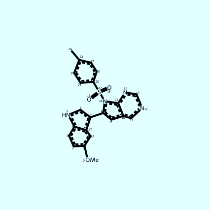 COc1ccc2[nH]cc(-c3cc4cncnc4n3S(=O)(=O)c3ccc(C)cc3)c2c1